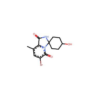 Cc1cc(Br)c(=O)n2c1C(=O)NC21CCC(O)CC1